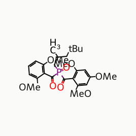 COc1cc(OC)c(C(=O)P(=O)(CC(C)CC(C)(C)C)C(=O)c2c(OC)cccc2OC)c(OC)c1